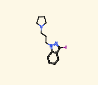 Ic1nn(CCCN2CCCC2)c2ccccc12